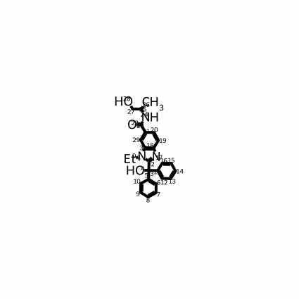 CCn1c(C(O)(c2ccccc2)c2ccccc2)nc2ccc(C(=O)NC(C)CO)cc21